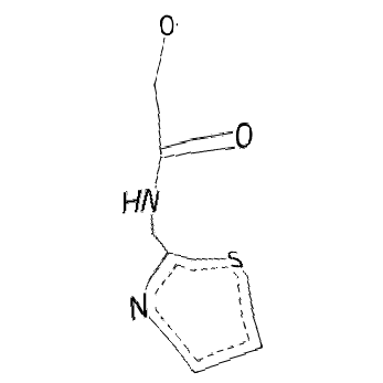 [O]CC(=O)Nc1nccs1